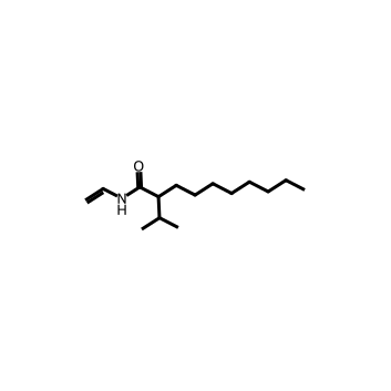 C=CNC(=O)C(CCCCCCCC)C(C)C